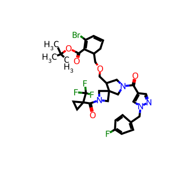 CC(C)(C)OC(=O)C1=C(Br)C=CCC1COCC1CN(C(=O)c2cnn(Cc3ccc(F)cc3)c2)CC12CN(C(=O)C1(C(F)(F)F)CC1)C2